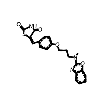 CN(CCCOc1ccc(C=C2SC(=O)NC2=O)cc1)c1nc2ccccc2o1